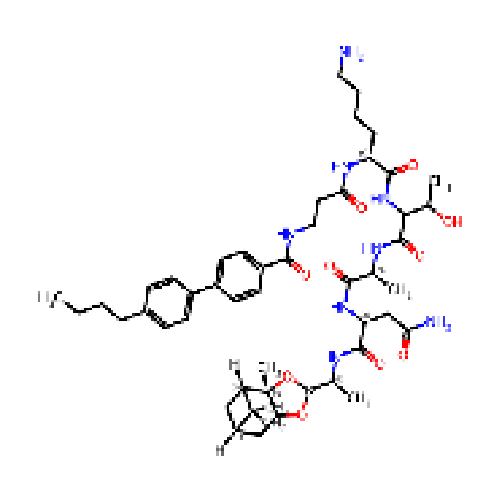 CCCCc1ccc(-c2ccc(C(=O)NCCC(=O)N[C@@H](CCCCN)C(=O)NC(C(=O)N[C@@H](C)C(=O)N[C@@H](CC(N)=O)C(=O)N[C@@H](C)B3OC4C[C@@H]5C[C@@H](C5(C)C)[C@]4(C)O3)C(C)O)cc2)cc1